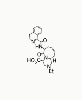 CCN1C[C@@H]2C/C=C\C[C@H](NC(=O)c3nccc4ccccc34)C(=O)N2[C@H](C(=O)O)C1